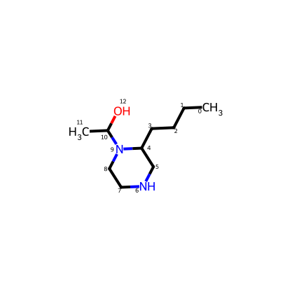 CCCCC1CNCCN1C(C)O